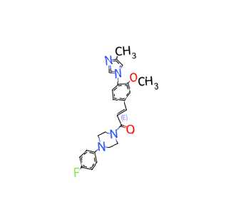 COc1cc(/C=C/C(=O)N2CCN(c3ccc(F)cc3)CC2)ccc1-n1cnc(C)c1